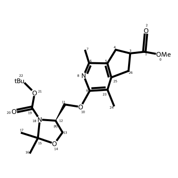 COC(=O)C1Cc2c(C)nc(OC[C@H]3COC(C)(C)N3C(=O)OC(C)(C)C)c(C)c2C1